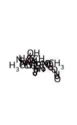 COc1cc(OCCN2CCOCC2)ccc1CC(=O)N1CCc2cc(-c3cc(C(=O)N(c4ccc(O)cc4)c4cc(C#N)n(C)c4C)c(C)n3C)c(C(=O)N3Cc4ccccc4C[C@H]3CN3CCCCC3)cc2C1